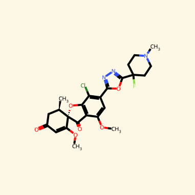 COC1=CC(=O)C[C@@H](C)[C@]12Oc1c(Cl)c(-c3nnc(C4(F)CCN(C)CC4)o3)cc(OC)c1C2=O